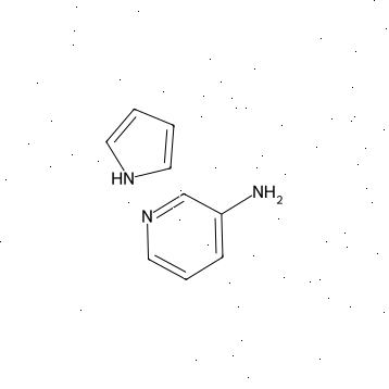 Nc1cccnc1.c1cc[nH]c1